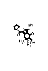 CCCSc1sc(C(=O)N2CCCC2)c2c1C(=O)C(=CO)C(C)(C)C2